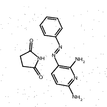 Nc1ccc(/N=N/c2ccccc2)c(N)n1.O=C1CCC(=O)N1